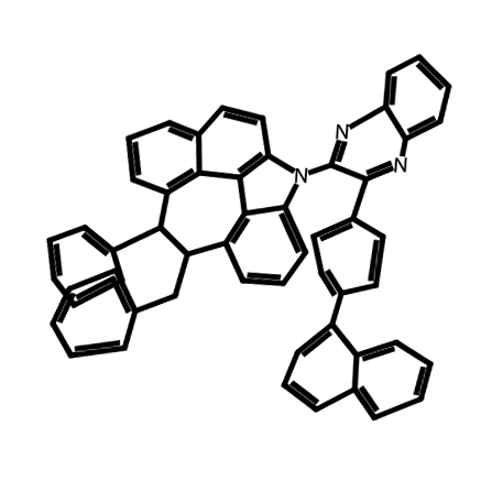 c1ccc(CC2c3cccc4c3c3c5c(cccc5ccc3n4-c3nc4ccccc4nc3-c3ccc(-c4cccc5ccccc45)cc3)C2c2ccccc2)cc1